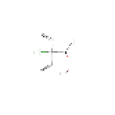 C=CC(Cl)(C=C)C(O[SiH3])C(C)C